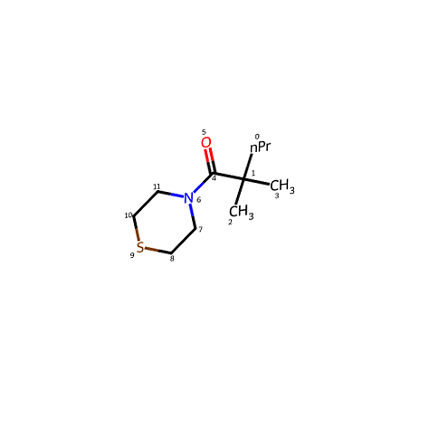 CCCC(C)(C)C(=O)N1CCSCC1